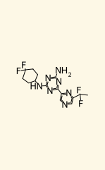 CC(F)(F)c1cncc(-c2nc(N)nc(NC3CCC(F)(F)CC3)n2)n1